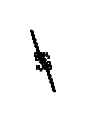 CCCCCCCCCCCCC(=O)N(N)C(=O)c1ccc(C(=O)N(N)C(=O)CCCCCCCCCCCC)cc1